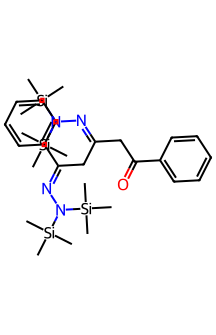 C[Si](C)(C)N(/N=C(/CC(=O)c1ccccc1)C/C(=N\N([Si](C)(C)C)[Si](C)(C)C)c1ccccc1)[Si](C)(C)C